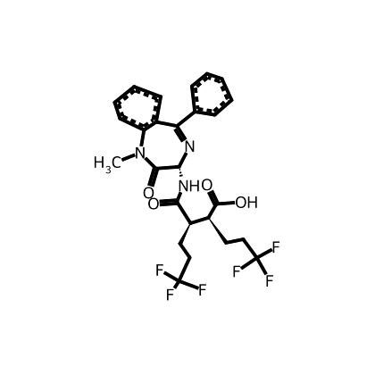 CN1C(=O)[C@@H](NC(=O)[C@H](CCC(F)(F)F)[C@H](CCC(F)(F)F)C(=O)O)N=C(c2ccccc2)c2ccccc21